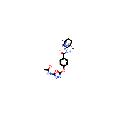 CC(=O)Nc1nnc(Oc2ccc(C(=O)N[C@@H]3C[C@H]4CC[C@@H]3N4)cc2)o1